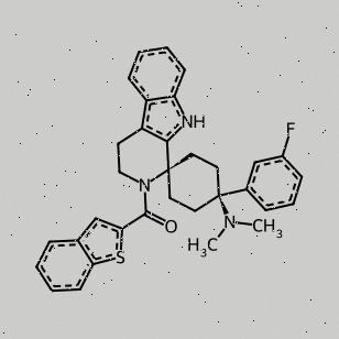 CN(C)[C@]1(c2cccc(F)c2)CC[C@]2(CC1)c1[nH]c3ccccc3c1CCN2C(=O)c1cc2ccccc2s1